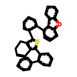 c1cc2oc3ccccc3c2c(-c2ccccc2-c2sc(-c3ccccc3-c3ccccc3)c3c2CCC=C3)c#1